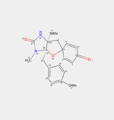 CN[C@]12CC3(C=CC(=O)C=C3)O[C@@]1(Cc1ccc(OC)cc1)N(C)C(=O)N2